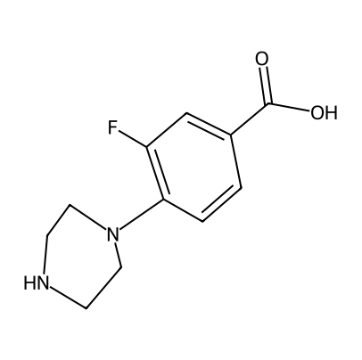 O=C(O)c1ccc(N2CCNCC2)c(F)c1